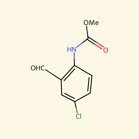 COC(=O)Nc1ccc(Cl)cc1C=O